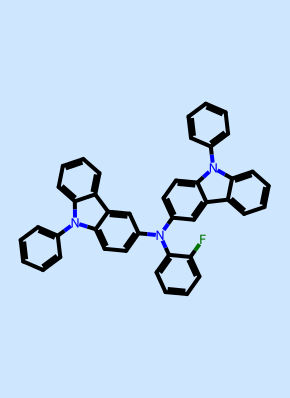 Fc1ccccc1N(c1ccc2c(c1)c1ccccc1n2-c1ccccc1)c1ccc2c(c1)c1ccccc1n2-c1ccccc1